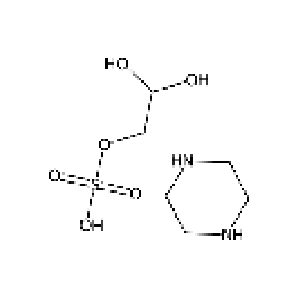 C1CNCCN1.O=S(=O)(O)OCC(O)O